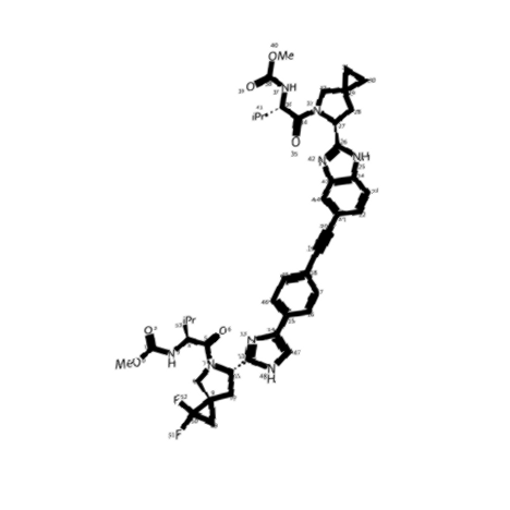 COC(=O)N[C@H](C(=O)N1C[C@@]2(C[C@H]1c1nc(-c3ccc(C#Cc4ccc5[nH]c([C@@H]6CC7(CC7)CN6C(=O)[C@@H](NC(=O)OC)C(C)C)nc5c4)cc3)c[nH]1)CC2(F)F)C(C)C